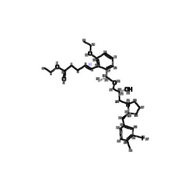 CCOC(=O)CC/C=C/c1c(OCC)cccc1[C@@H](C)OC[C@H](O)CN1CCC[C@H]1Cc1ccc(C)c(F)c1